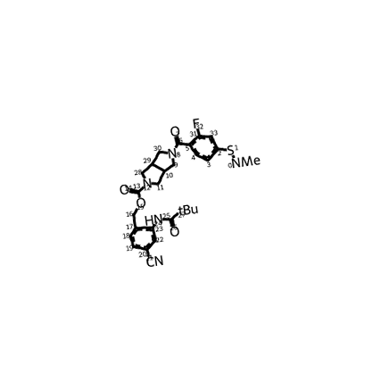 CNSc1ccc(C(=O)N2CC3CN(C(=O)OCc4ccc(C#N)cc4NC(=O)C(C)(C)C)CC3C2)c(F)c1